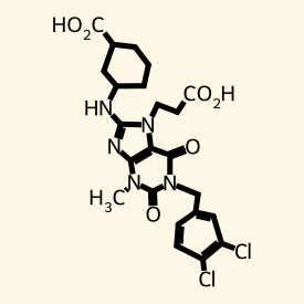 Cn1c(=O)n(Cc2ccc(Cl)c(Cl)c2)c(=O)c2c1nc(NC1CCCC(C(=O)O)C1)n2CCC(=O)O